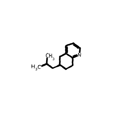 CC(C)CC1CCc2ncccc2C1